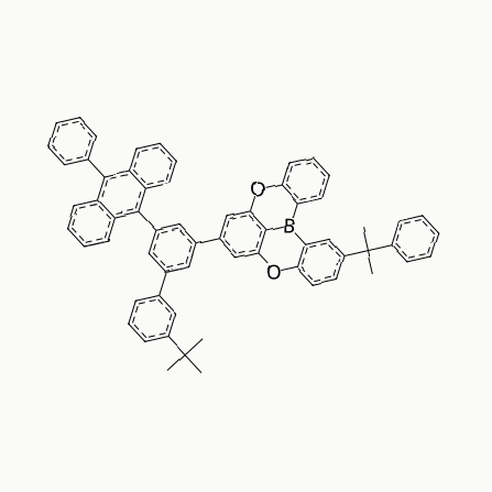 CC(C)(C)c1cccc(-c2cc(-c3cc4c5c(c3)Oc3ccc(C(C)(C)c6ccccc6)cc3B5c3ccccc3O4)cc(-c3c4ccccc4c(-c4ccccc4)c4ccccc34)c2)c1